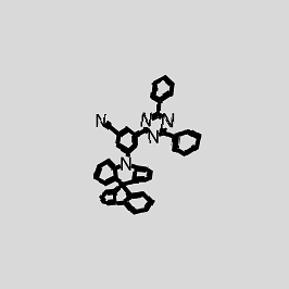 N#Cc1cc(-c2nc(-c3ccccc3)nc(-c3ccccc3)n2)cc(N2c3ccccc3C3(c4ccccc4-c4ccccc43)c3ccccc32)c1